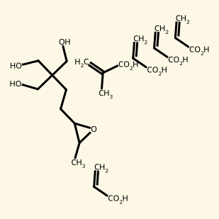 C=C(C)C(=O)O.C=CC(=O)O.C=CC(=O)O.C=CC(=O)O.C=CC(=O)O.CC1OC1CCC(CO)(CO)CO